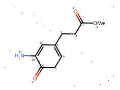 COC(=O)CCC1=CCC(=O)C(N)=C1